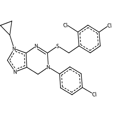 Clc1ccc(N2Cc3ncn(C4CC4)c3N=C2SCc2ccc(Cl)cc2Cl)cc1